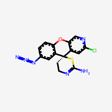 [N-]=[N+]=Nc1ccc2c(c1)[C@@]1(CCN=C(N)S1)c1cc(Cl)ncc1O2